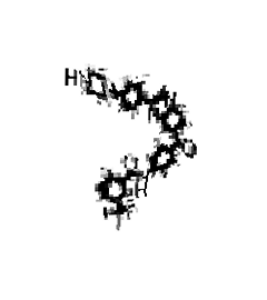 O=C(Nc1ccc(C(=O)c2ccc3ncc(-c4ccc(N5CCNCC5)cc4)nc3c2)cc1)c1cccc(C(F)(F)F)c1